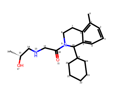 Cc1cccc2c1CCN(C(=O)CNC[C@@H](C)O)C2C1CCCCC1